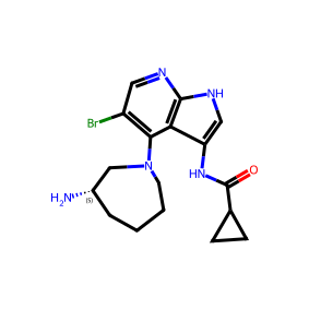 N[C@H]1CCCCN(c2c(Br)cnc3[nH]cc(NC(=O)C4CC4)c23)C1